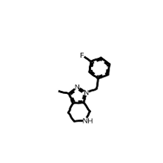 Cc1nn(Cc2cccc(F)c2)c2c1CCNC2